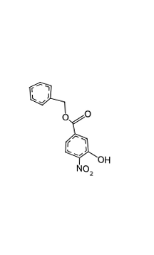 O=C(OCc1ccccc1)c1ccc([N+](=O)[O-])c(O)c1